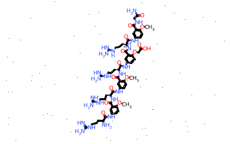 COc1ccc(NC(=O)[C@H](CCCNC(=N)N)NC(=O)c2cc(NC(=O)[C@H](CCCNC(=N)N)NC(=O)c3cc(NC(=O)[C@H](CCCNC(=N)N)NC(=O)c4cc(NC(=O)[C@@H](N)CCCNC(=N)N)ccc4OC)ccc3OC)ccc2OCC(=O)O)cc1C(=O)NCC(N)=O